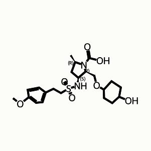 COc1ccc(CCS(=O)(=O)N[C@H]2C[C@@H](C)N(C(=O)O)[C@H]2COC2CCC(O)CC2)cc1